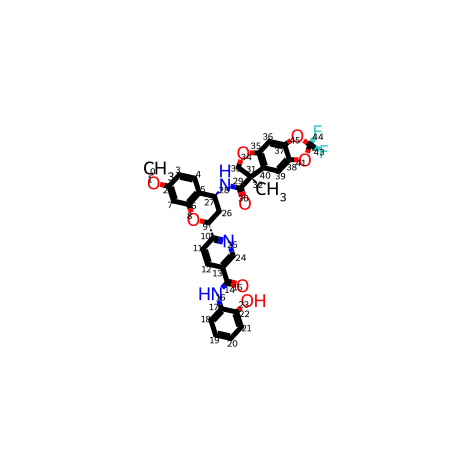 COc1ccc2c(c1)O[C@@H](c1ccc(C(=O)Nc3ccccc3O)cn1)C[C@H]2NC(=O)[C@@]1(C)COc2cc3c(cc21)OC(F)(F)O3